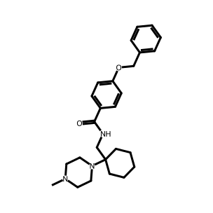 CN1CCN(C2(CNC(=O)c3ccc(OCc4ccccc4)cc3)CCCCC2)CC1